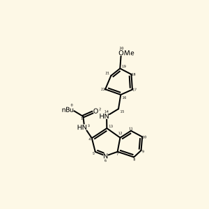 CCCCC(=O)Nc1cnc2ccccc2c1NCc1ccc(OC)cc1